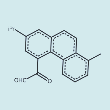 Cc1cccc2c1ccc1cc(C(C)C)cc(C(=O)C=O)c12